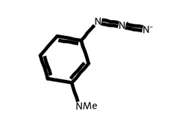 CNc1cccc(N=[N+]=[N-])c1